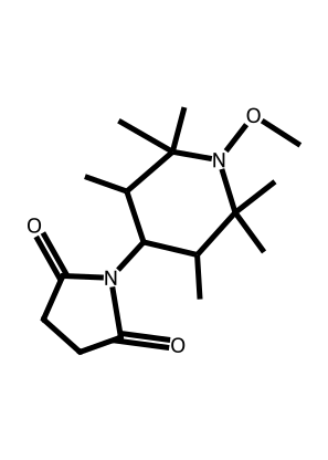 CON1C(C)(C)C(C)C(N2C(=O)CCC2=O)C(C)C1(C)C